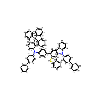 c1ccc(-c2ccc(N(c3ccc(-c4cc5c6ccccc6n(-c6ccc(-c7ccccc7)cc6)c5c5c4sc4ccccc45)cc3)c3ccc4c(c3)C3(c5ccccc5-c5ccccc53)c3ccccc3-4)cc2)cc1